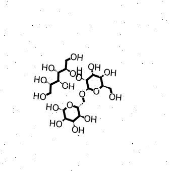 OC[C@@H](O)[C@@H](O)[C@H](O)[C@@H](O)CO.OC[C@H]1O[C@H](OC[C@H]2O[C@@H](O)[C@H](O)[C@@H](O)[C@@H]2O)[C@H](O)[C@@H](O)[C@H]1O